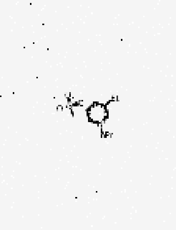 CCC[n+]1cccc(CC)c1.CS(=O)(=O)[O-]